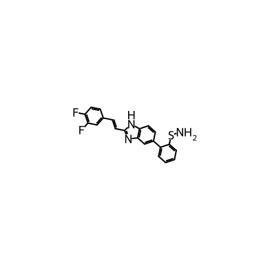 NSc1ccccc1-c1ccc2[nH]c(/C=C/c3ccc(F)c(F)c3)nc2c1